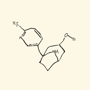 CCOC1CC2CCC(c3ccc(C)nc3)(C1)N2